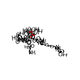 CNCCNC(=O)[C@@H]1C[C@H](NC(=O)c2cc(=O)[nH]c(=O)[nH]2)[C@@H](O[C@@H]2O[C@@H](C)[C@@H](O)[C@@H](O)[C@@H]2O)[C@H](C2O[C@H](CO)[C@H](O)C[C@H]2OC(=O)Cn2cc(COCCOCc3cn(CC(=O)O)nn3)nn2)C1